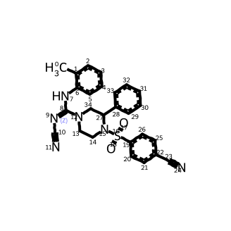 Cc1ccccc1N/C(=N/C#N)N1CCN(S(=O)(=O)c2ccc(C#N)cc2)C(c2ccccc2)C1